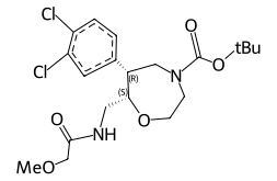 COCC(=O)NC[C@H]1OCCN(C(=O)OC(C)(C)C)C[C@H]1c1ccc(Cl)c(Cl)c1